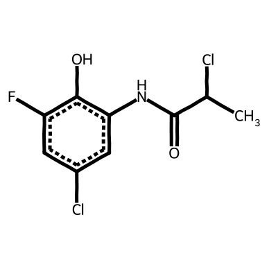 CC(Cl)C(=O)Nc1cc(Cl)cc(F)c1O